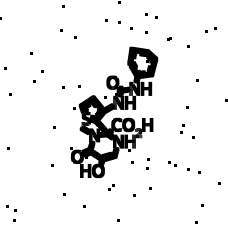 CN1C(=O)C(O)=CNC1(C(=O)O)c1sccc1NC(=O)Nc1ccccc1